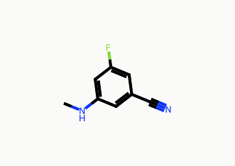 CNc1cc(F)cc(C#N)c1